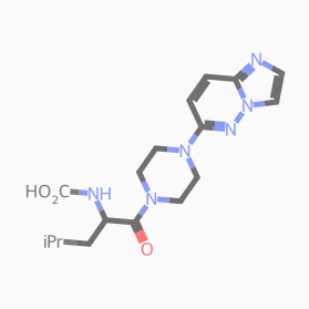 CC(C)CC(NC(=O)O)C(=O)N1CCN(c2ccc3nccn3n2)CC1